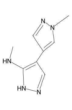 CNc1[nH]ncc1-c1cnn(C)c1